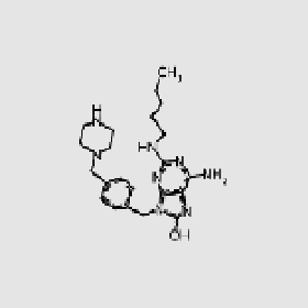 CCCCCNc1nc(N)c2nc(O)n(Cc3ccc(CN4CCNCC4)cc3)c2n1